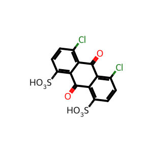 O=C1c2c(Cl)ccc(S(=O)(=O)O)c2C(=O)c2c(S(=O)(=O)O)ccc(Cl)c21